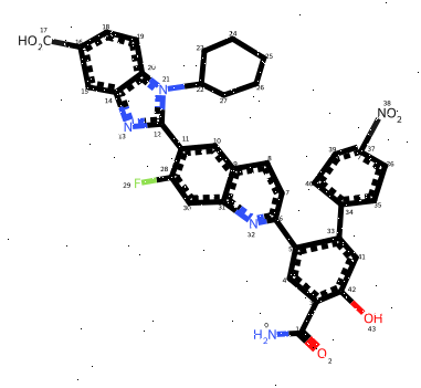 NC(=O)c1cc(-c2ccc3cc(-c4nc5cc(C(=O)O)ccc5n4C4CCCCC4)c(F)cc3n2)c(-c2ccc([N+](=O)[O-])cc2)cc1O